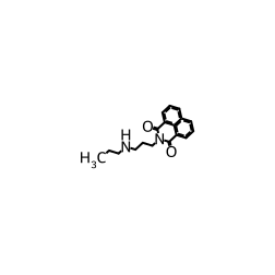 CCCNCCCN1C(=O)c2cccc3cccc(c23)C1=O